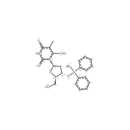 Cc1c(C=O)n([C@H]2C[C@H](O[Si](c3ccccc3)(c3ccccc3)C(C)(C)C)[C@@H](CO)O2)c(=O)[nH]c1=O